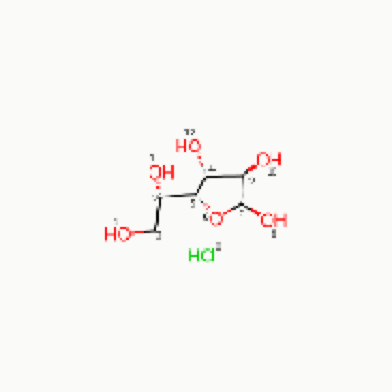 Cl.OC[C@H](O)[C@H]1O[C@H](O)[C@H](O)[C@H]1O